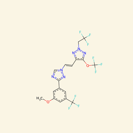 COc1cc(-c2ncn(C=Cc3nn(CC(F)(F)F)nc3OC(F)(F)F)n2)cc(C(F)(F)F)c1